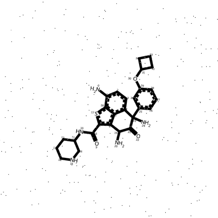 Nc1ccc2c3c(c(C(=O)NC4CCCNC4)sc13)C(N)C(=O)C2(N)c1cccc(OC2CCC2)c1